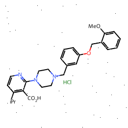 COc1ccccc1COc1cccc(CN2CCN(c3nccc(C(C)C)c3C(=O)O)CC2)c1.Cl